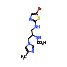 O=C(O)NC(CNc1ncc(Br)s1)Cn1cnc(C(F)(F)F)c1